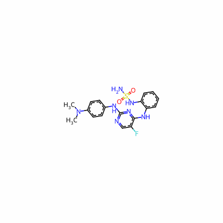 CN(C)c1ccc(Nc2ncc(F)c(Nc3ccccc3NS(N)(=O)=O)n2)cc1